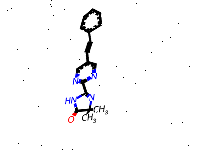 CC1(C)N=C(c2ncc(C#Cc3ccccc3)cn2)NC1=O